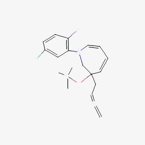 C=C=CCC1(O[Si](C)(C)C)C=CC=CN(c2cc(Cl)ccc2I)C1